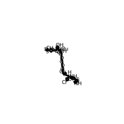 Cc1ncsc1-c1ccc(CNC(=O)[C@@H]2C[C@@H](O)CN2C(=O)C(NC(=O)COCCOCCOCCOCCOCC(=O)N2CCN(CCC(NC(=O)C3(N)CCN(c4ncnc5[nH]ccc45)CC3)c3ccc(Cl)cc3)CC2)C(C)(C)C)cc1